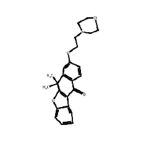 CC1(C)c2cc(OCCN3CCOCC3)ccc2C(=O)c2c1oc1ccccc21